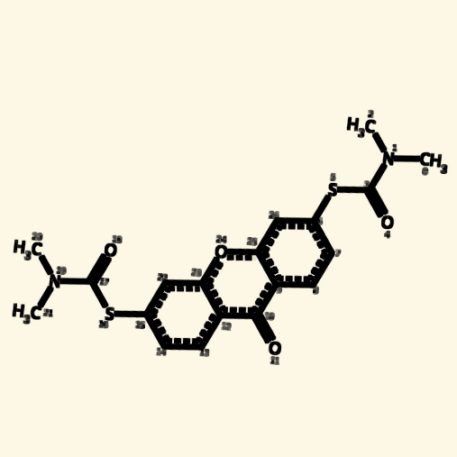 CN(C)C(=O)Sc1ccc2c(=O)c3ccc(SC(=O)N(C)C)cc3oc2c1